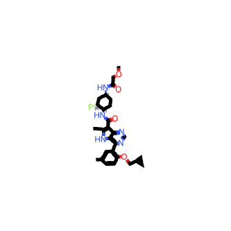 COCC(=O)N[C@H]1CC[C@@H](NC(=O)c2c(C)[nH]c3c(-c4cc(C)ccc4OCC4CC4)ncnc23)[C@H](F)C1